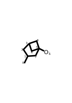 CC1CC2CC([O])(C1)C2